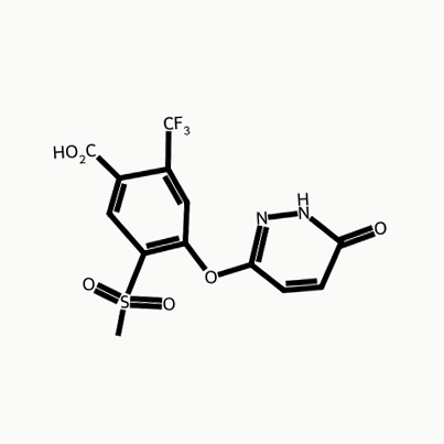 CS(=O)(=O)c1cc(C(=O)O)c(C(F)(F)F)cc1Oc1ccc(=O)[nH]n1